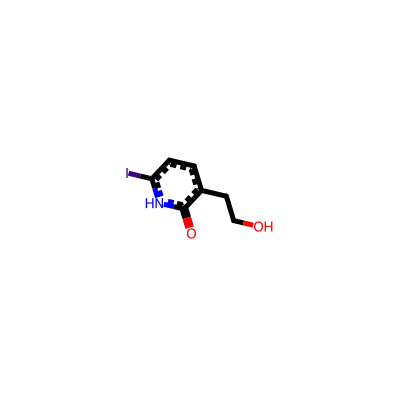 O=c1[nH]c(I)ccc1CCO